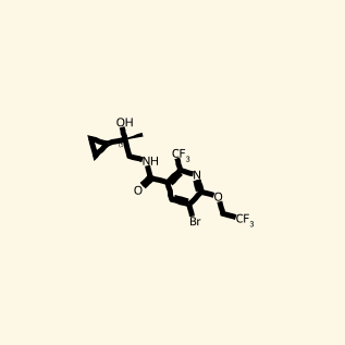 C[C@@](O)(CNC(=O)c1cc(Br)c(OCC(F)(F)F)nc1C(F)(F)F)C1CC1